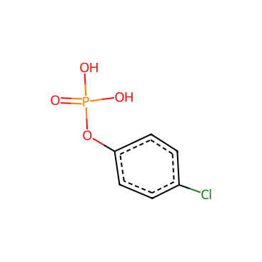 O=P(O)(O)Oc1ccc(Cl)cc1